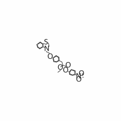 CCOC(Cc1ccc(OCCN2CCSc3ccccc32)cc1)C(=O)Oc1ccc([N+](=O)[O-])cc1